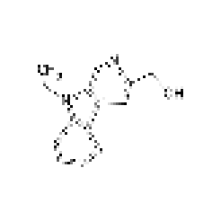 CCn1c2ccccc2c2cc(CO)ncc21